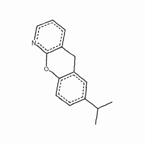 CC(C)c1ccc2c(c1)Cc1cccnc1O2